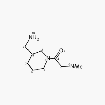 CNCC(=O)N1CCCC(CN)C1